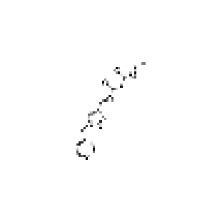 CCOC(=O)CC(=O)OCc1cn(Cc2ccccc2)nn1